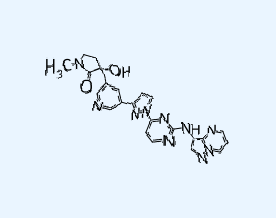 CN1CC[C@](O)(c2cncc(-c3ccn(-c4ccnc(Nc5cnn6cccnc56)n4)n3)c2)C1=O